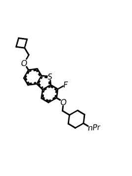 CCCC1CCC(COc2ccc3c(sc4cc(OCC5CCC5)ccc43)c2F)CC1